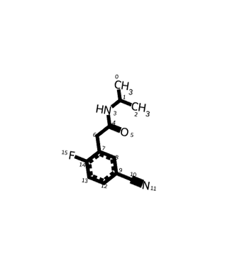 CC(C)NC(=O)Cc1cc(C#N)ccc1F